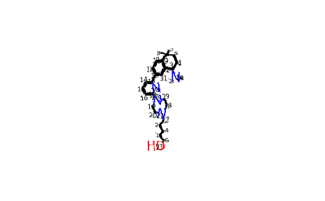 CN(C)C1CCC(C)(C)c2ccc(-c3cccc(N4CCN(CCCCCO)CC4)n3)cc21